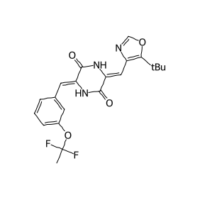 CC(F)(F)Oc1cccc(/C=c2\[nH]c(=O)/c(=C/c3ncoc3C(C)(C)C)[nH]c2=O)c1